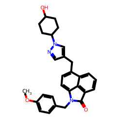 COc1ccc(CN2C(=O)c3cccc4c(Cc5cnn(C6CCC(O)CC6)c5)ccc2c34)cc1